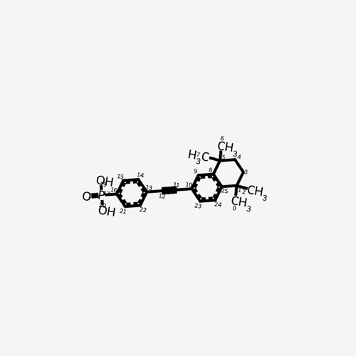 CC1(C)CCC(C)(C)c2cc(C#Cc3ccc(P(=O)(O)O)cc3)ccc21